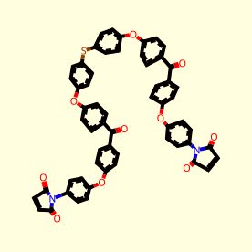 O=C(c1ccc(Oc2ccc(Sc3ccc(Oc4ccc(C(=O)c5ccc(Oc6ccc(N7C(=O)C=CC7=O)cc6)cc5)cc4)cc3)cc2)cc1)c1ccc(Oc2ccc(N3C(=O)C=CC3=O)cc2)cc1